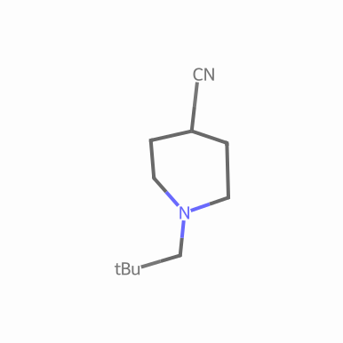 CC(C)(C)CN1CCC(C#N)CC1